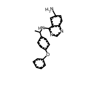 CC(Nc1ncnc2ccc(N)cc12)c1ccc(Oc2ccccc2)cc1